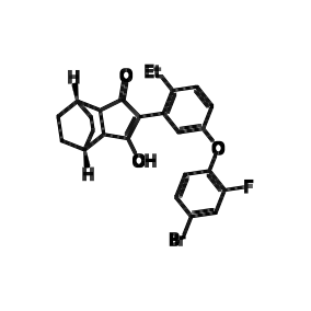 CCc1ccc(Oc2ccc(Br)cc2F)cc1C1=C(O)C2C(C1=O)[C@H]1CC[C@@H]2CC1